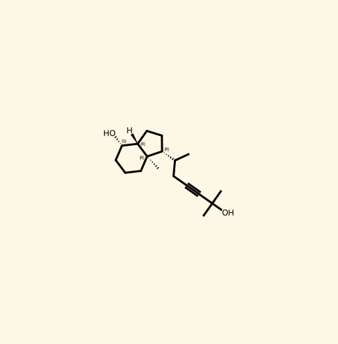 CC(CC#CC(C)(C)O)[C@H]1CC[C@H]2[C@@H](O)CCC[C@]12C